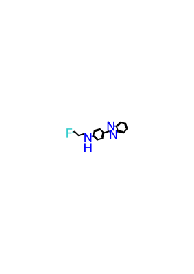 Cn1c(-c2ccc(NCCCF)cc2)nc2ccccc21